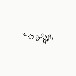 C[C@H]1[C@H](NC(=O)c2ccc(-c3ccc(C#N)cc3)o2)C2CCN1CC2